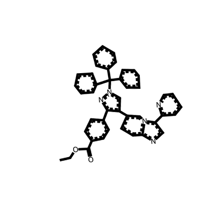 CCOC(=O)c1ccc(-c2nn(C(c3ccccc3)(c3ccccc3)c3ccccc3)cc2-c2ccc3ncc(-c4ccccn4)n3c2)cc1